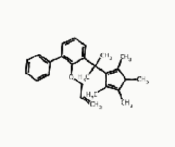 C=CCOc1c(-c2ccccc2)cccc1C(C)(C)C1=C(C)C(C)C(C)=C1C